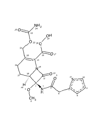 CO[C@@]1(NC(=O)Cc2cccs2)C(=O)N2C(C(=O)OO)=C(COC(N)=O)CC[C@@H]21